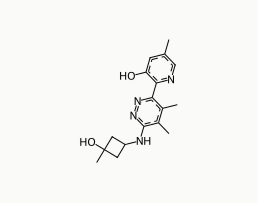 Cc1cnc(-c2nnc(NC3CC(C)(O)C3)c(C)c2C)c(O)c1